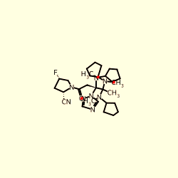 CN(C1CCCC1)C(C)(N(C)C1CCCC1)[C@@](CC(=O)N1C[C@@H](F)C[C@H]1C#N)(N(C)C1CCCC1)n1cncn1